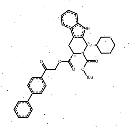 CC(C)(C)OC(=O)N1[C@@H](C(=O)OCC(=O)c2ccc(-c3ccccc3)cc2)Cc2c([nH]c3ccccc23)[C@@H]1C1CCCCC1